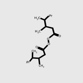 CC(C)C(C)C(C)CC(=O)OOC(=O)CC(C)C(C)C(C)C